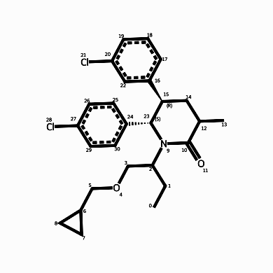 CCC(COCC1CC1)N1C(=O)C(C)C[C@H](c2cccc(Cl)c2)[C@H]1c1ccc(Cl)cc1